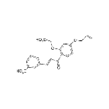 C=CCOc1ccc(C(=O)C=Cc2cccc(C(=O)O)c2)c(OCC(=O)O)c1